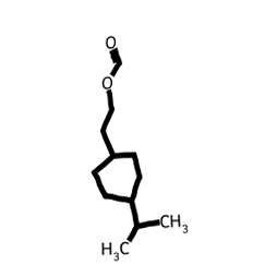 CC(C)C1CCC(CCOC=O)CC1